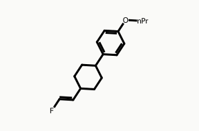 CCCOc1ccc(C2CCC(C=CF)CC2)cc1